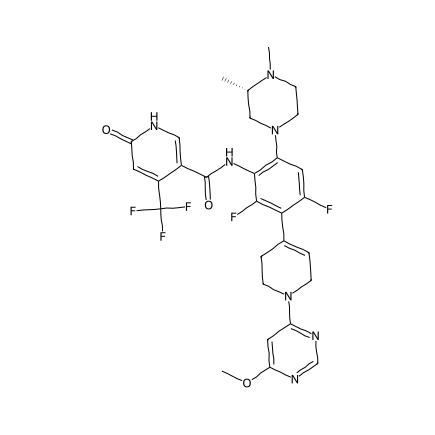 COc1cc(N2CC=C(c3c(F)cc(N4CCN(C)[C@@H](C)C4)c(NC(=O)c4c[nH]c(=O)cc4C(F)(F)F)c3F)CC2)ncn1